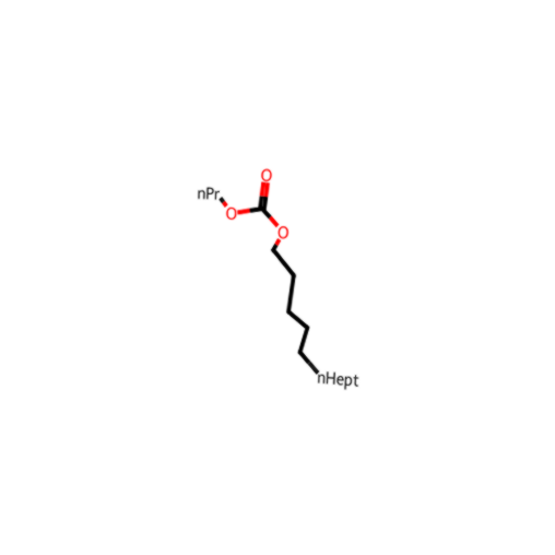 CCCCCCCCCCCCOC(=O)OCCC